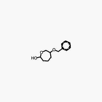 OC1CCCC(OCc2ccccc2)CO1